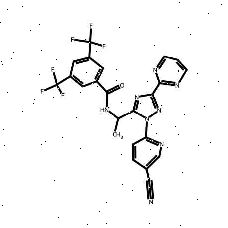 CC(NC(=O)c1cc(C(F)(F)F)cc(C(F)(F)F)c1)c1nc(-c2ncccn2)nn1-c1ccc(C#N)cn1